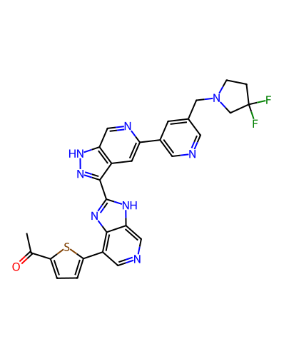 CC(=O)c1ccc(-c2cncc3[nH]c(-c4n[nH]c5cnc(-c6cncc(CN7CCC(F)(F)C7)c6)cc45)nc23)s1